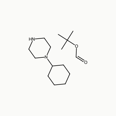 C1CCC(N2CCNCC2)CC1.CC(C)(C)OC=O